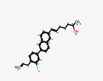 C=CCc1ccc(-c2ccc3cc(C=CCCCC(C)O)ccc3c2)cc1F